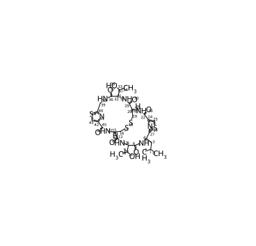 CC(C)C[C@H]1NC(=O)C([C@H](C)O)NC(=O)[C@@H]2CSSC[C@H](NC(=O)c3csc1n3)C(=O)N[C@@H]([C@H](C)O)C(=O)NCc1nc(cs1)C(=O)N2